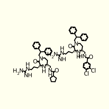 N=C(N)NCCC[C@@H]1N[C@H](CNC(=O)C2CCCC2)CCN(CC(c2ccccc2)c2ccccc2)C1=O.N=C(N)NCCC[C@@H]1N[C@H](CNC(=O)c2ccc(Cl)c(Cl)c2)CCN(CC(c2ccccc2)c2ccccc2)C1=O